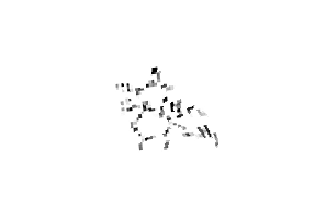 CC1(C)CCC[C@@]2(C)C(=O)OC[C@@H]12